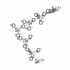 O=[Si]([O-])[O-].O=[Si]([O-])[O-].O=[Si]([O-])[O-].O=[Si]([O-])[O-].O=[Si]([O-])[O-].[Ca+2].[Ca+2].[Sc+3].[Sc+3]